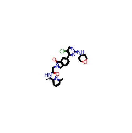 Cc1cccc([C@@H](C)NC(=O)CN2Cc3ccc(-c4nc(NC5CCOCC5)ncc4Cl)cc3C2=O)n1